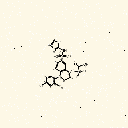 O=C(O)C(F)(F)F.O=S(=O)(Nc1nccs1)c1ccc2c(c1)OCCN2c1ccc(Cl)cc1F